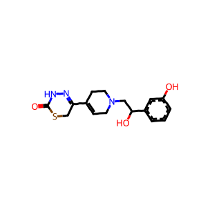 O=C1NN=C(C2=CCN(CC(O)c3cccc(O)c3)CC2)CS1